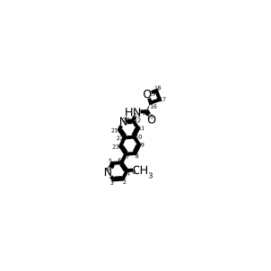 Cc1ccncc1-c1ccc2cc(NC(=O)[C@H]3CCO3)ncc2c1